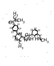 CNCC1=CC(C2NN=C(C3N=C(c4ccc([S+]([O-])C(C)C)cc4)C=NC3C)O2)CC=C1